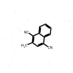 [CH2]c1cc(C#N)c2ccccc2c1C#N